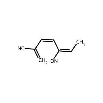 C=C(C#N)/C=C\C(=C/C)N=O